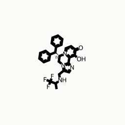 CC(NCc1cnc2n1C[C@H](C(c1ccccc1)c1ccccc1)n1ccc(=O)c(O)c1-2)C(F)(F)F